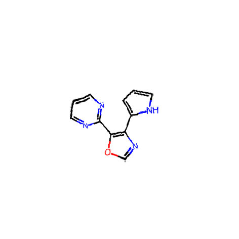 [c]1nc(-c2ccc[nH]2)c(-c2ncccn2)o1